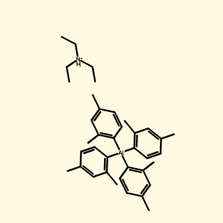 CC[NH+](CC)CC.Cc1cc[c]([Al-]([c]2ccc(C)cc2C)([c]2ccc(C)cc2C)[c]2ccc(C)cc2C)c(C)c1